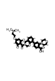 CN(C)CCOc1cc(Cl)c(C(=O)N2COc3c(cccc3-c3ccc(C(=O)O)c(N4CCOCC4)c3)C2)c(Cl)c1